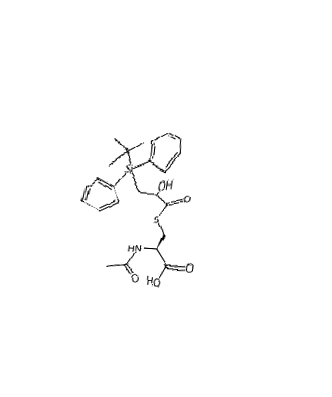 CC(=O)N[C@@H](CSC(=O)C(O)C[Si](c1ccccc1)(c1ccccc1)C(C)(C)C)C(=O)O